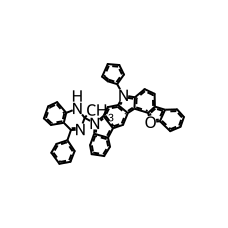 CC1(n2c3ccccc3c3cc4c5c6oc7ccccc7c6ccc5n(-c5ccccc5)c4cc32)N=C(c2ccccc2)c2ccccc2N1